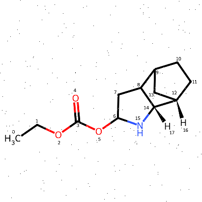 CCOC(=O)OC1CC2C3CC[C@@H](C3)[C@@H]2N1